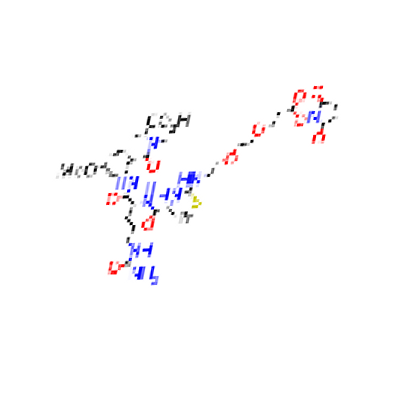 COc1ccc(C(=O)N(C)[C@@H](C)C(=O)O)c(NC(=O)[C@H](CCCNC(N)=O)NC(=O)[C@@H](NC(=S)NCCOCCOCCC(=O)ON2C(=O)CCC2=O)C(C)C)c1